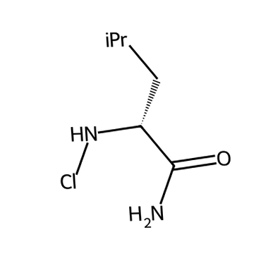 CC(C)C[C@@H](NCl)C(N)=O